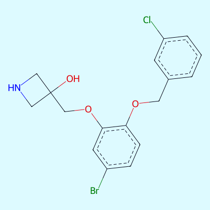 OC1(COc2cc(Br)ccc2OCc2cccc(Cl)c2)CNC1